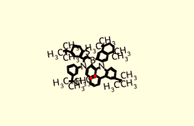 Cc1cc2c3c(c1)N(c1cccc(C(C)(C)C)c1)c1c(sc4ccc(C(C)(C)C)cc14)B3c1cc3c(cc1N2c1ccc(C(C)(C)C)cc1-c1ccccc1)C(C)(C)CCC3(C)C